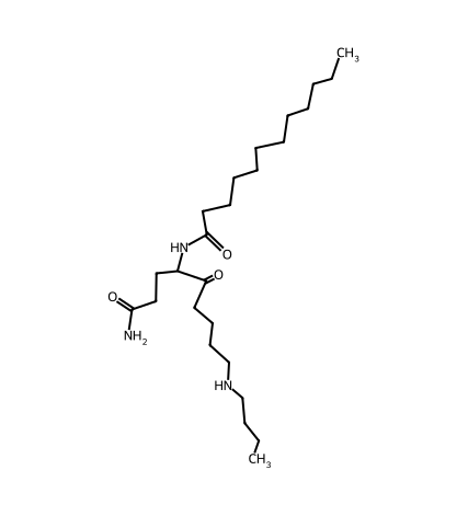 CCCCCCCCCCCC(=O)NC(CCC(N)=O)C(=O)CCCCNCCCC